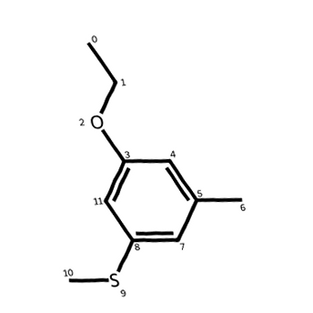 CCOc1cc(C)cc(SC)c1